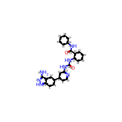 Nc1n[nH]c2ccc(-c3ccnc(NC(=O)Nc4ccccc4C(=O)Nc4ccccc4)c3)cc12